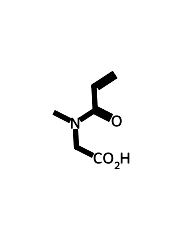 C=CC(=O)N(C)CC(=O)O